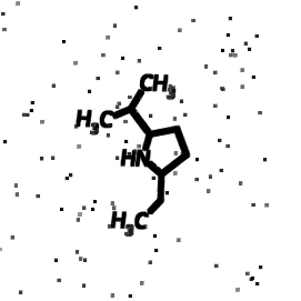 CCC1CCC(C(C)C)N1